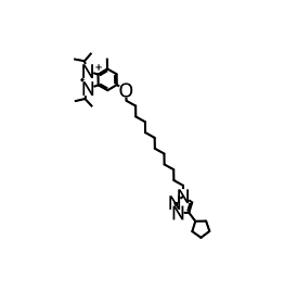 Cc1cc(OCCCCCCCCCCCCn2cc(C3CCCC3)nn2)cc2c1[n+](C(C)C)cn2C(C)C